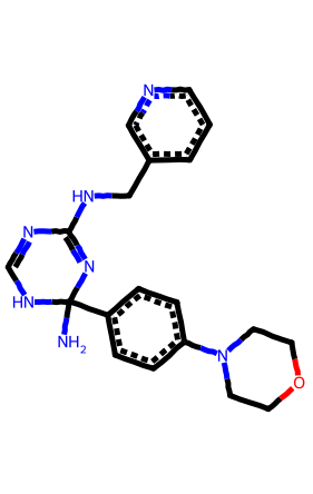 NC1(c2ccc(N3CCOCC3)cc2)N=C(NCc2cccnc2)N=CN1